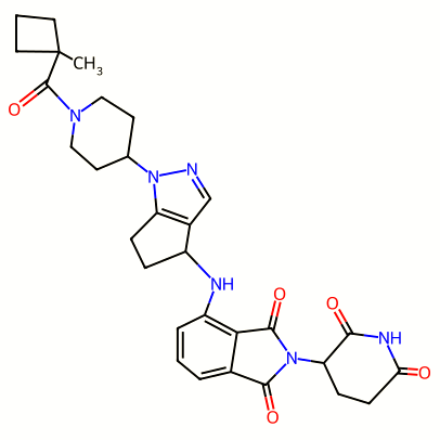 CC1(C(=O)N2CCC(n3ncc4c3CCC4Nc3cccc4c3C(=O)N(C3CCC(=O)NC3=O)C4=O)CC2)CCC1